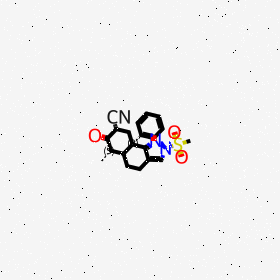 C[C@@H]1C(=O)C(C#N)C[C@@]2(c3ccccc3)c3nn(S(C)(=O)=O)cc3CCC12